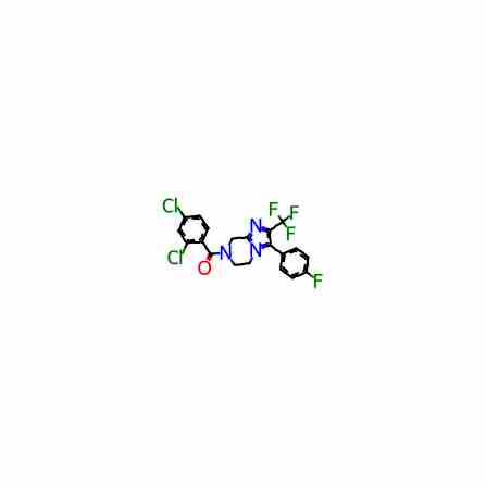 O=C(c1ccc(Cl)cc1Cl)N1CCn2c(nc(C(F)(F)F)c2-c2ccc(F)cc2)C1